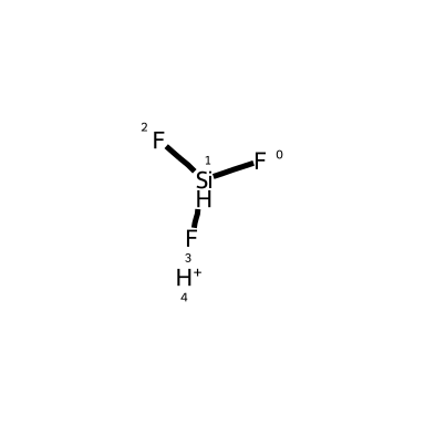 F[SiH](F)F.[H+]